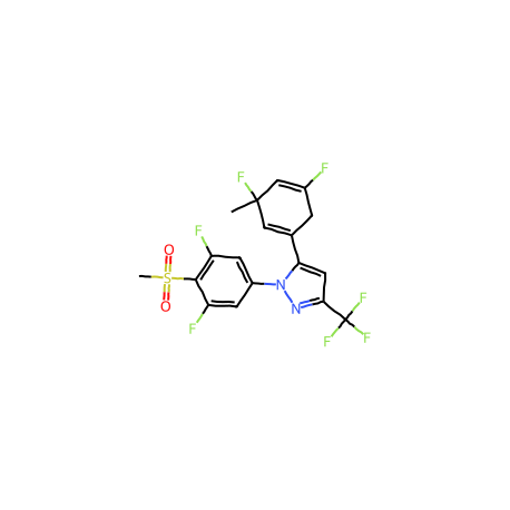 CC1(F)C=C(F)CC(c2cc(C(F)(F)F)nn2-c2cc(F)c(S(C)(=O)=O)c(F)c2)=C1